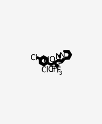 CC(c1ccc(Cl)cc1Cl)C(O)(c1cc2ccccn2n1)C(F)(F)F